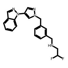 FC(F)CNCc1cccc(Cn2cc(-n3ncc4ccccc43)cn2)c1